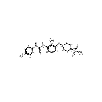 Cc1ccc(NC(=O)Nc2cccc(CN3CCN(S(C)(=O)=O)CC3)c2O)cn1